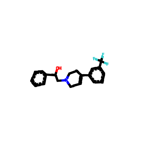 OC(CN1CC=C(c2cccc(C(F)(F)F)c2)CC1)c1ccccc1